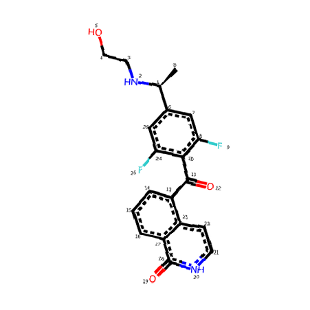 C[C@H](NCCO)c1cc(F)c(C(=O)c2cccc3c(=O)[nH]ccc23)c(F)c1